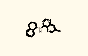 Brc1cnc2c(N[C@H]3CCCc4ccccc43)ncnc2c1